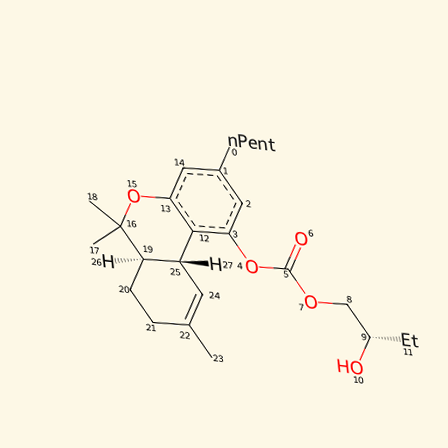 CCCCCc1cc(OC(=O)OC[C@@H](O)CC)c2c(c1)OC(C)(C)[C@@H]1CCC(C)=C[C@@H]21